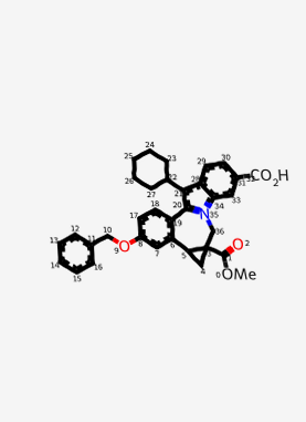 COC(=O)C12CC1c1cc(OCc3ccccc3)ccc1-c1c(C3CCCCC3)c3ccc(C(=O)O)cc3n1C2